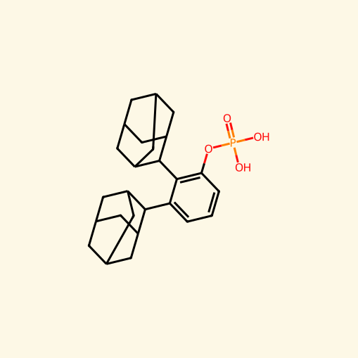 O=P(O)(O)Oc1cccc(C2C3CC4CC(C3)CC2C4)c1C1C2CC3CC(C2)CC1C3